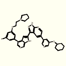 Fc1cc(OCCN2CCCC2)cc(-c2cncc3[nH]c(-c4n[nH]c5ncc(-c6cncc(OC7CCCCC7)c6)cc45)cc23)c1